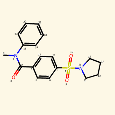 CN(C(=O)c1ccc(S(=O)(=O)N2CCCC2)cc1)c1ccccc1